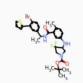 Cc1ccc(NC2CN(C(=O)OC(C)(C)C)CC2(F)F)cc1C(=O)N[C@H](C)c1ccc(Br)c(-c2cccs2)c1